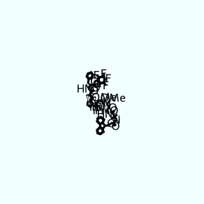 CC[C@H](C)[C@@H]([C@@H](CC(=O)N1CCC[C@H]1[C@H](OC)[C@@H](C)C(=O)N[C@@H](Cc1ccccc1)C(=O)Oc1c(F)c(F)c(F)c(F)c1F)OC)N(C)C(=O)[C@@H](NC(=O)C(C)(C)N(C)C(=O)OCC1c2ccccc2-c2ccccc21)C(C)C